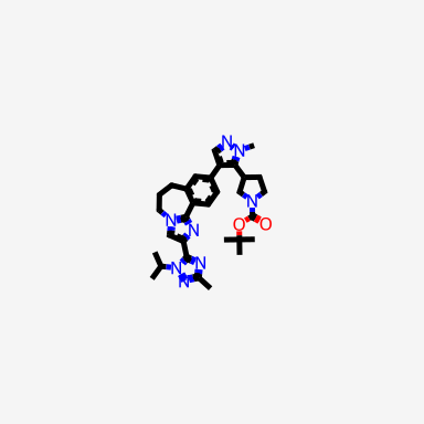 Cc1nc(-c2cn3c(n2)-c2ccc(-c4cnn(C)c4C4CCN(C(=O)OC(C)(C)C)C4)cc2CCC3)n(C(C)C)n1